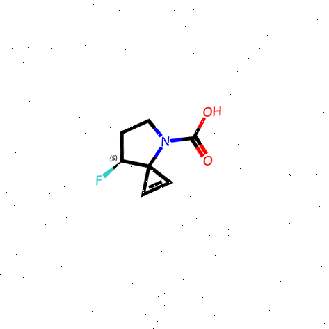 O=C(O)N1CC[C@H](F)C12C=C2